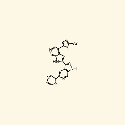 CC(=O)c1ccc(-c2cncc3[nH]c(-c4n[nH]c5cnc(-c6cnccn6)cc45)cc23)s1